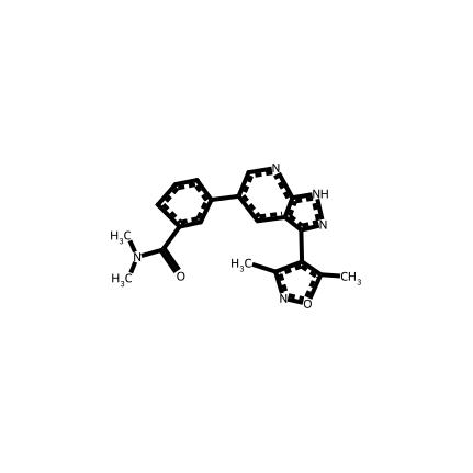 Cc1noc(C)c1-c1n[nH]c2ncc(-c3cccc(C(=O)N(C)C)c3)cc12